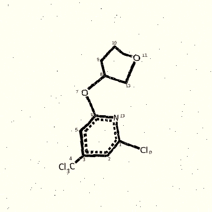 Clc1cc(C(Cl)(Cl)Cl)cc(OC2CCOC2)n1